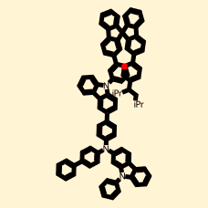 CC(C)CC(c1ccc(-c2ccc3c(c2)C2(c4ccccc4-3)c3ccccc3-c3ccc(-c4cccc(-n5c6ccccc6c6cc(-c7ccc(N(c8ccc(-c9ccccc9)cc8)c8ccc9c%10ccccc%10n(-c%10ccccc%10)c9c8)cc7)ccc65)c4)cc32)cc1)C(C)C